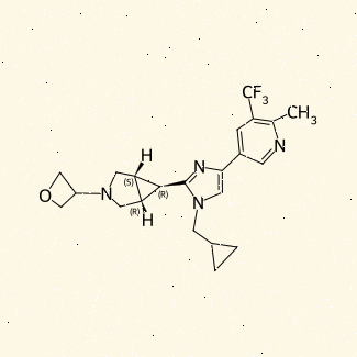 Cc1ncc(-c2cn(CC3CC3)c([C@H]3[C@@H]4CN(C5COC5)C[C@@H]43)n2)cc1C(F)(F)F